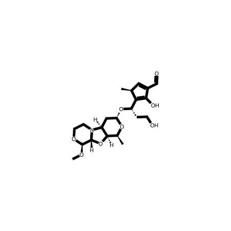 CO[C@H]1OCCN2[C@@H]1O[C@@H]1[C@H](C)O[C@@H](O[C@@H](CCO)C3=C(O)C(C=O)=C[C@@H]3C)C[C@@H]12